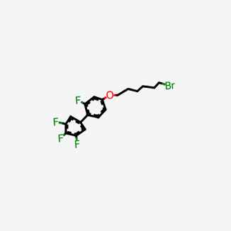 Fc1cc(OCCCCCCBr)ccc1-c1cc(F)c(F)c(F)c1